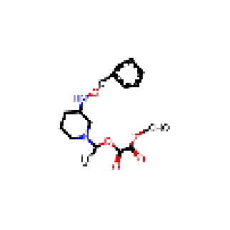 CC(OC(=O)C(=O)OC=O)N1CCCC(NOCc2ccccc2)C1